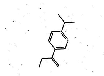 C=C(CC)c1ccc(C(C)C)nc1